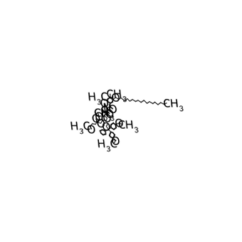 CCCCCCCCCCCCCCCCCCOc1cc(C(=O)n2c(=O)ccn([C@@H]3O[C@H](COC(c4ccccc4)(c4ccc(OC)cc4)c4ccc(OC)cc4)C(OC(=O)CCC(C)=O)[C@@H]3OC)c2=O)cc(C)c1C